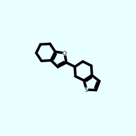 c1cc2c(s1)CC(c1cc3c(o1)CCCC3)CC2